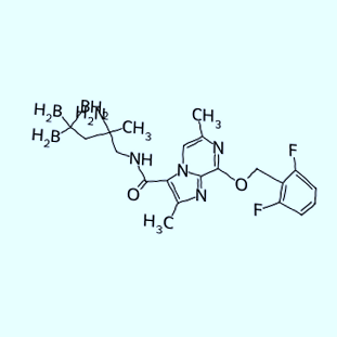 BC(B)(B)CC(C)(N)CNC(=O)c1c(C)nc2c(OCc3c(F)cccc3F)nc(C)cn12